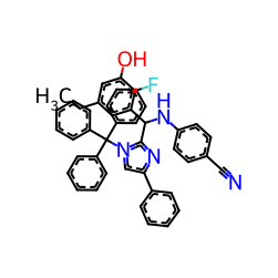 CCc1cc(O)c(F)c(C(Nc2ccc(C#N)cc2)c2nc(-c3ccccc3)cn2C(c2ccccc2)(c2ccccc2)c2ccccc2)c1